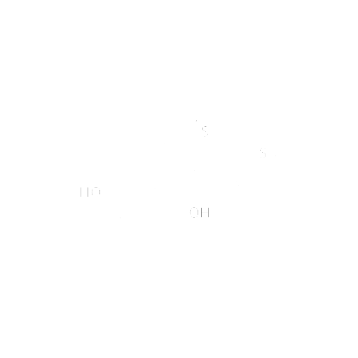 C1=CSCS1.CC(O)C(C)O